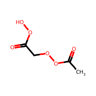 CC(=O)OOCC(=O)OO